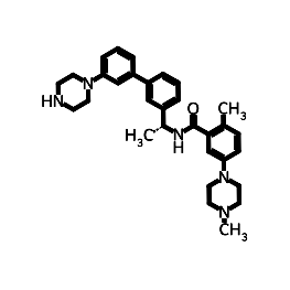 Cc1ccc(N2CCN(C)CC2)cc1C(=O)N[C@H](C)c1cccc(-c2cccc(N3CCNCC3)c2)c1